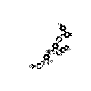 CC1(C)CCC(CN2CCN(c3ccc(C(=O)NS(=O)(=O)c4ccc(NC[C@@H]5CN(C6COC6)CCO5)c([N+](=O)[O-])c4)c(N4CCOc5nc6[nH]ccc6cc54)c3)CC2)=C(c2ccc(Cl)cc2)C1